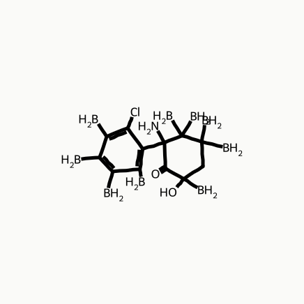 Bc1c(B)c(B)c(C2(N)C(=O)C(B)(O)CC(B)(B)C2(B)B)c(Cl)c1B